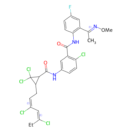 CC/C(Cl)=C\C(Cl)=C/CC1C(C(=O)Nc2ccc(Cl)c(C(=O)Nc3ccc(F)cc3/C(C)=N/OC)c2)C1(Cl)Cl